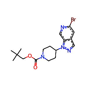 CC(C)(C)COC(=O)N1CCC(n2ncc3cc(Br)ncc32)CC1